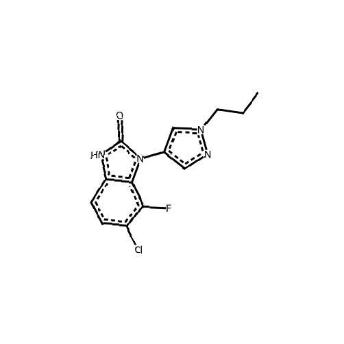 CCCn1cc(-n2c(=O)[nH]c3ccc(Cl)c(F)c32)cn1